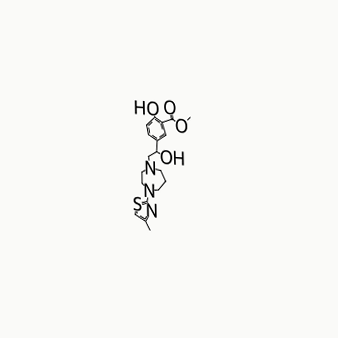 COC(=O)c1cc(C(O)CN2CCCN(c3nc(C)cs3)CC2)ccc1O